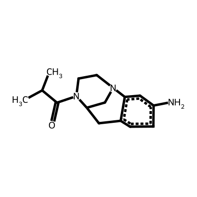 CC(C)C(=O)N1CCN2CC1Cc1ccc(N)cc12